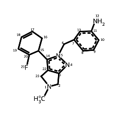 CN1Cc2nn(Cc3cccc(N)c3)c(C3CC=CC=C3F)c2C1